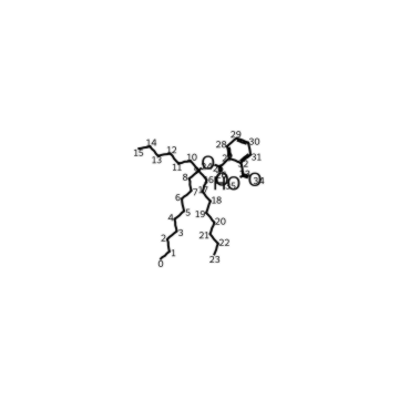 CCCCCCCCCC(CCCCCC)(CCCCCCCC)OC(=O)c1ccccc1C(=O)O